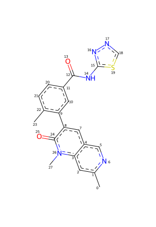 Cc1cc2c(cn1)cc(-c1cc(C(=O)Nc3nncs3)ccc1C)c(=O)n2C